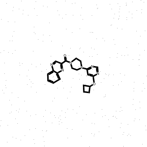 O=C(c1cnc2ccccc2n1)N1CCN(c2cc(OC3CCC3)ncn2)CC1